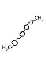 C=CCOCc1ccc(-c2ccc(CC[C@H]3CC[C@H](C=C)CC3)cc2)cc1